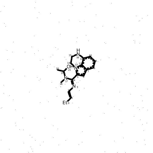 CC/C=C/N=C(/c1cc2cccc3c2n1CCN3)N(C)C(C)O